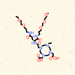 CCOCCOCCCNC(=O)CC[C@H](NC(=O)CN1CCN(CC)CCN(CC(=O)O)CCN(CC(=O)O)CC1)C(=O)NCCCOCCOCCOC